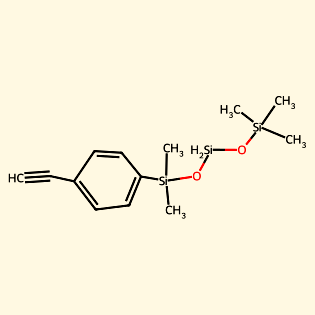 C#Cc1ccc([Si](C)(C)O[SiH2]O[Si](C)(C)C)cc1